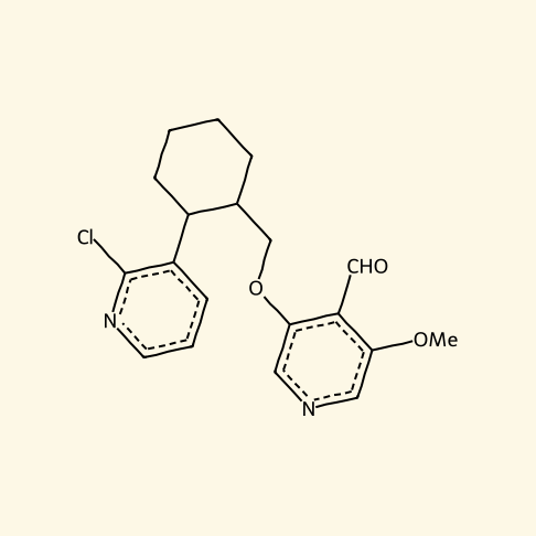 COc1cncc(OCC2CCCCC2c2cccnc2Cl)c1C=O